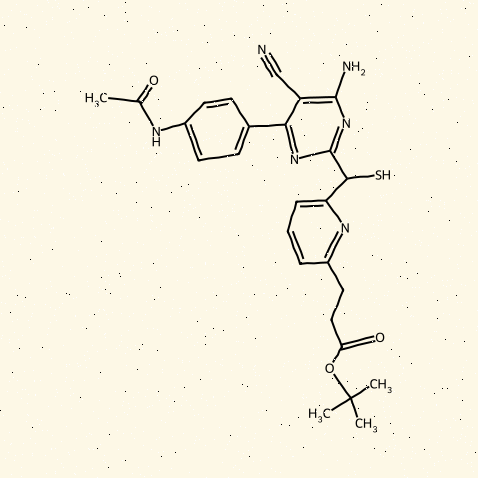 CC(=O)Nc1ccc(-c2nc(C(S)c3cccc(CCC(=O)OC(C)(C)C)n3)nc(N)c2C#N)cc1